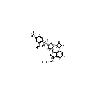 C=Cc1cc(OCC)ccc1S(=O)(=O)N1CC(C2CCC2)[C@@H](n2nc(CC(=O)O)c3ccccc32)C1